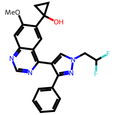 COc1cc2ncnc(-c3cn(CC(F)F)nc3-c3ccccc3)c2cc1C1(O)CC1